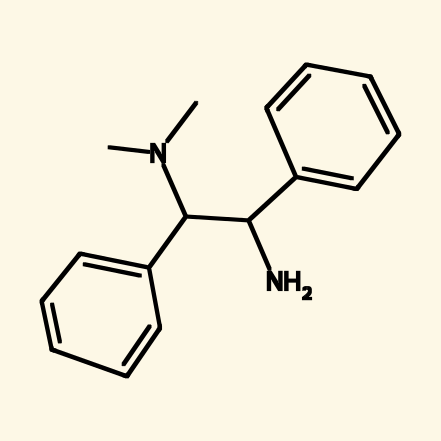 CN(C)C(c1ccccc1)C(N)c1ccccc1